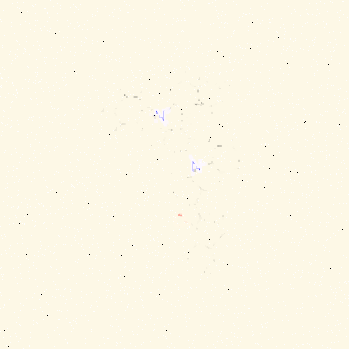 c1ccc(N(c2ccc3oc4c5ccccc5ccc4c3c2)c2ccc3c(c2)c2c4ccccc4ccc2n3-c2ccccc2)cc1